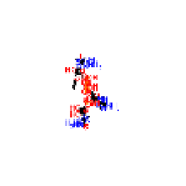 CCCCOC[C@H]1[C@@H](O)[C@H](n2c[n+](C)c3c(=O)[nH]c(N)nc32)O[C@@H]1COP(=O)(O)OP(=O)(O)OP(=O)(O)OC[C@H]1O[C@@H](n2cnc3c(N)ncnc32)[C@H](OC)[C@@H]1OP(=O)(O)OC[C@H]1O[C@@H](n2cnc3c(=O)[nH]c(N)nc32)[C@H](O)[C@@H]1O